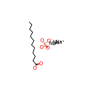 CCCCCCCCCCCC(=O)[O-].O=S(=O)([O-])[O-].[Na+].[Na+].[Na+]